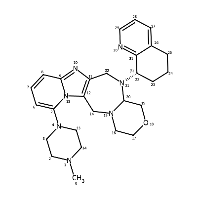 CN1CCN(c2cccc3nc4c(n23)CN2CCOCC2N([C@H]2CCCc3cccnc32)C4)CC1